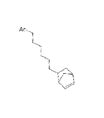 CC(=O)CCCCCCC1CC2C=CC1C2